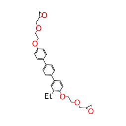 CCc1cc(-c2ccc(-c3ccc(OCCOCC4CO4)cc3)cc2)ccc1OCCOCC1CO1